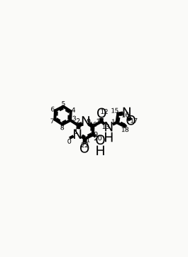 Cn1c(-c2ccccc2)nc(C(=O)Nc2cnoc2)c(O)c1=O